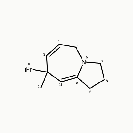 CC(C)C1(C)C=CCN2CCCC2=C1